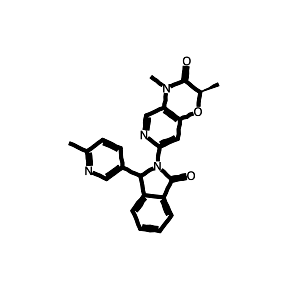 Cc1ccc(C2c3ccccc3C(=O)N2c2cc3c(cn2)N(C)C(=O)[C@@H](C)O3)cn1